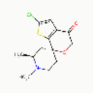 C[C@H]1C[C@@]2(CCN1C(=O)O)OCC(=O)c1cc(Cl)sc12